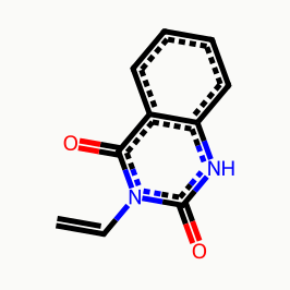 C=Cn1c(=O)[nH]c2ccccc2c1=O